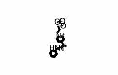 C/C(=N/Nc1ccccc1)c1cc[n+](CCCS(=O)(=O)[O-])cc1